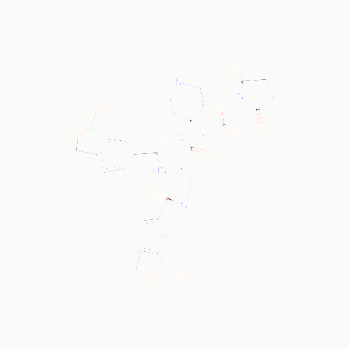 C[C@H](NC(=O)c1ccc2c(c1)B(O)OC2)[C@H](NC(=O)c1ccc2c(c1)B(O)OC2)C(=O)NC1(CC(=O)ON2C(=O)CCC2=O)CCNCC1